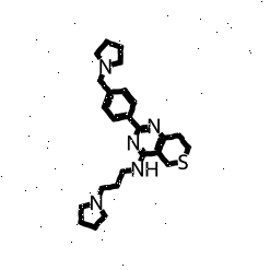 c1cc(-c2nc3c(c(NCCCN4CCCC4)n2)CSCC3)ccc1CN1CCCC1